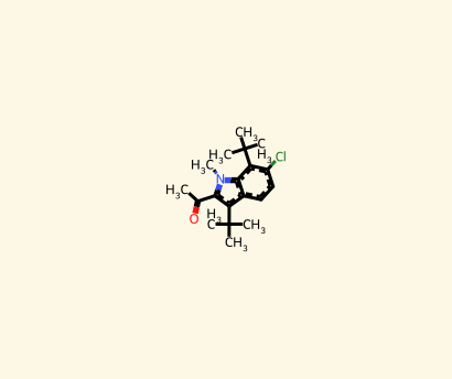 CC(=O)c1c(C(C)(C)C)c2ccc(Cl)c(C(C)(C)C)c2n1C